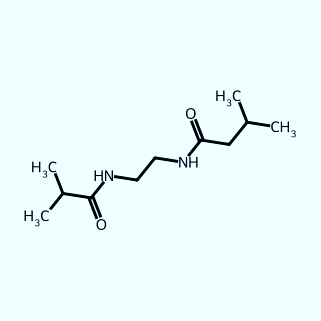 CC(C)CC(=O)NCCNC(=O)C(C)C